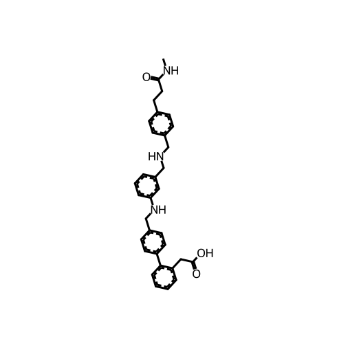 CNC(=O)CCc1ccc(CNCc2cccc(NCc3ccc(-c4ccccc4CC(=O)O)cc3)c2)cc1